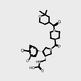 CC1(C)CC(C(=O)N2CCC(C(=O)N3C[C@H](CNC(=O)O)[C@H](c4ccc(Cl)c(Cl)c4)C3)CC2)CCO1